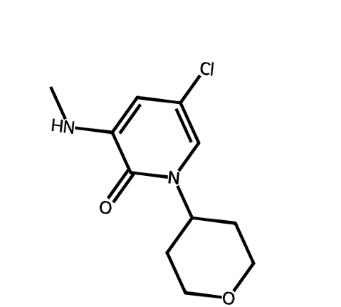 CNc1cc(Cl)cn(C2CCOCC2)c1=O